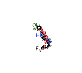 O=C(COc1ccc(Cl)c(F)c1)N[C@@H]1CC[C@@H](c2nnc(C3C[C@H]3COC(F)(F)F)o2)OC1